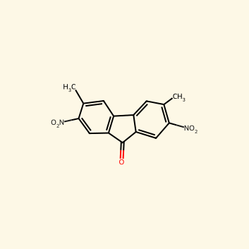 Cc1cc2c(cc1[N+](=O)[O-])C(=O)c1cc([N+](=O)[O-])c(C)cc1-2